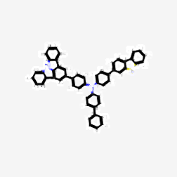 c1ccc(-c2ccc(N(c3ccc(-c4ccc5c(c4)sc4ccccc45)cc3)c3ccc(-c4cc5c6ccccc6n6c7ccccc7c(c4)c56)cc3)cc2)cc1